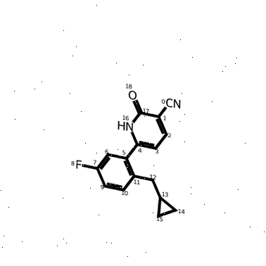 N#Cc1ccc(-c2cc(F)ccc2CC2CC2)[nH]c1=O